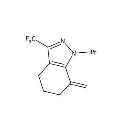 C=C1CCCc2c(C(F)(F)F)nn(C(C)C)c21